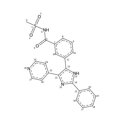 CS(=O)(=O)NC(=O)c1cccc(-c2[nH]c(-c3ccccc3)nc2-c2ccncc2)c1